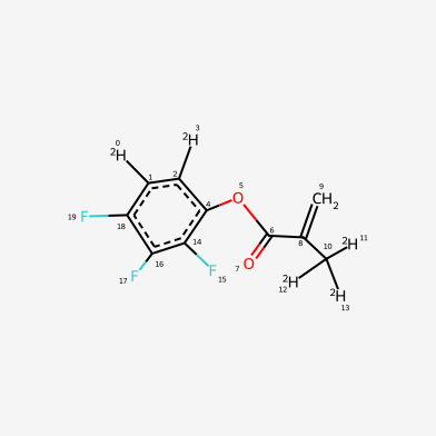 [2H]c1c([2H])c(OC(=O)C(=C)C([2H])([2H])[2H])c(F)c(F)c1F